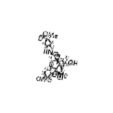 COC(=O)c1ccc(CNC(=O)C[C@H]2O[C@H](c3cccc(OC)c3OC)c3cc(Cl)ccc3N(CC(C)(C)CO)C2=O)cc1